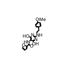 COc1ccc(CCNc2nc(O)c(NC(=O)c3ccco3)c(O)n2)cc1